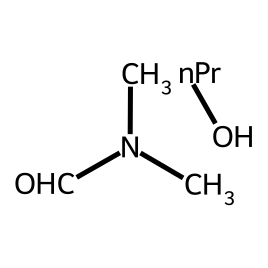 CCCO.CN(C)C=O